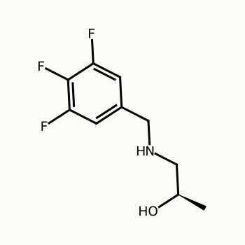 C[C@@H](O)CNCc1cc(F)c(F)c(F)c1